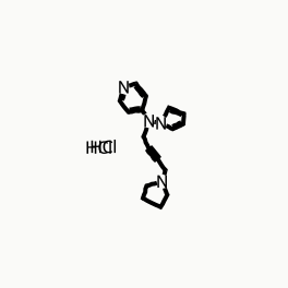 C(#CCN(c1ccncc1)n1cccc1)CN1CCCC1.Cl.Cl